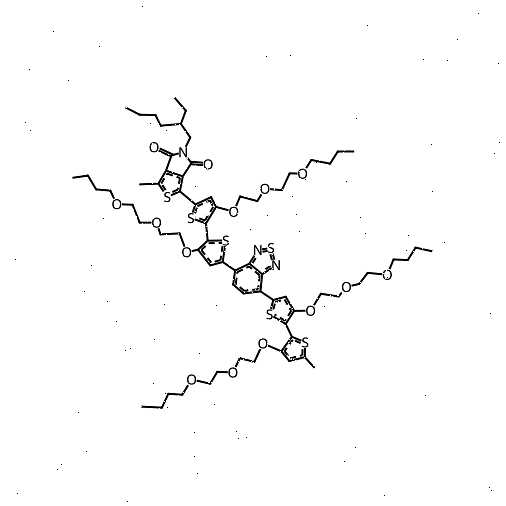 CCCCOCCOCCOc1cc(C)sc1-c1sc(-c2ccc(-c3cc(OCCOCCOCCCC)c(-c4sc(-c5sc(C)c6c5C(=O)N(CC(CC)CCCC)C6=O)cc4OCCOCCOCCCC)s3)c3nsnc23)cc1OCCOCCOCCCC